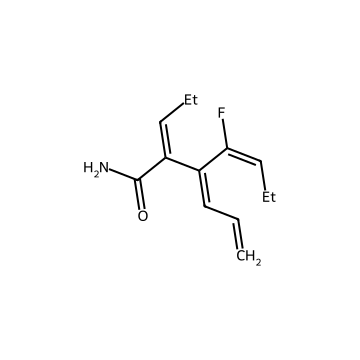 C=C/C=C(C(\F)=C/CC)/C(=C\CC)C(N)=O